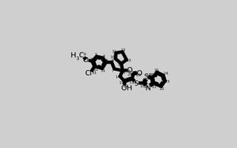 COc1ccc(CCC2(C3CCCC3)CC(O)=C(Sc3nc4ccccc4s3)C(=O)O2)cc1Cl